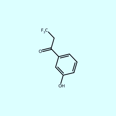 O=C(CC(F)(F)F)c1cccc(O)c1